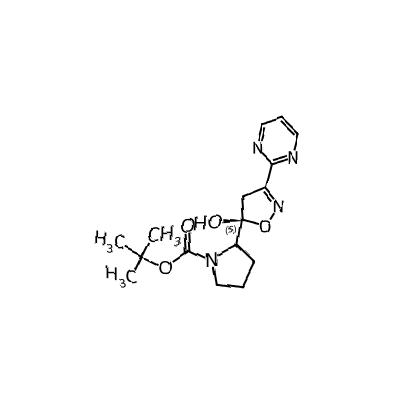 CC(C)(C)OC(=O)N1CCCC1[C@]1(O)CC(c2ncccn2)=NO1